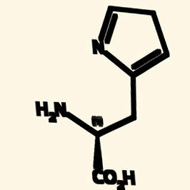 N[C@@H](CC1=CCC=N1)C(=O)O